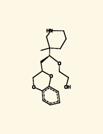 CC1([C@H](CC2COc3ccccc3O2)OCCO)CCCNC1